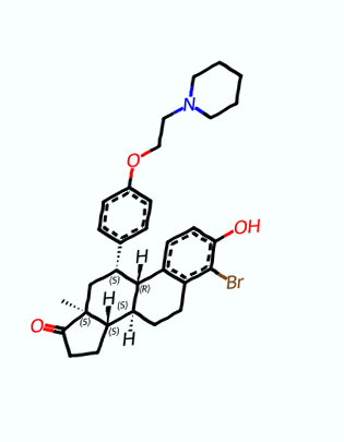 C[C@]12C[C@H](c3ccc(OCCN4CCCCC4)cc3)[C@@H]3c4ccc(O)c(Br)c4CC[C@H]3[C@@H]1CCC2=O